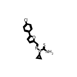 NC(=S)N(N=Cc1ccc(-c2ccc(Cl)cc2)o1)C1CC1